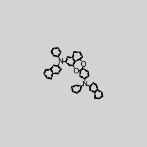 c1ccc(N(c2ccc3c(c2)Oc2cc(N(c4ccccc4)c4ccc5ccccc5c4)cc4cccc(c24)O3)c2ccc3ccccc3c2)cc1